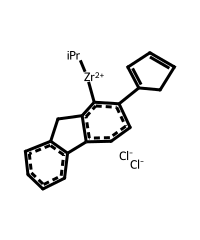 C[CH](C)[Zr+2][c]1c(C2=CC=CC2)ccc2c1Cc1ccccc1-2.[Cl-].[Cl-]